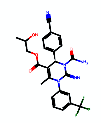 CC1=C(C(=O)OCC(C)O)[C@@H](c2ccc(C#N)cc2)N(C(N)=O)C(=N)N1c1cccc(C(F)(F)F)c1